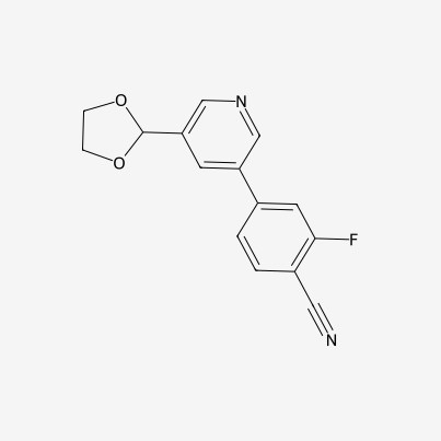 N#Cc1ccc(-c2cncc(C3OCCO3)c2)cc1F